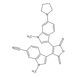 Cn1cc(C2=C(c3cn(C)c4cc(N5CCCC5)ccc34)C(=O)OC2=O)c2ccc(C#N)cc21